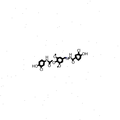 COc1cc(/C=N/NC(=O)c2ccc(O)c(Cl)c2)cc(OC)c1OCC(=O)Nc1ccc(O)c(Cl)c1